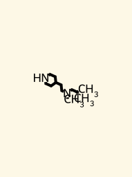 CC(C)CN(C)CCC1CCNCC1